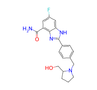 NC(=O)c1cc(F)cc2[nH]c(-c3ccc(CN4CCCC4CO)cc3)nc12